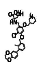 Cc1c(COc2cc(OCC3CCCN(C)C3)c(CN[C@@](C)(CO)C(=O)O)cc2Cl)cccc1-c1ccc2c(c1)OCCO2